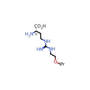 CC(C)OCCNC(=N)NCC[C@H](N)C(=O)O